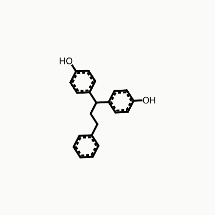 Oc1ccc(C(CCc2ccccc2)c2ccc(O)cc2)cc1